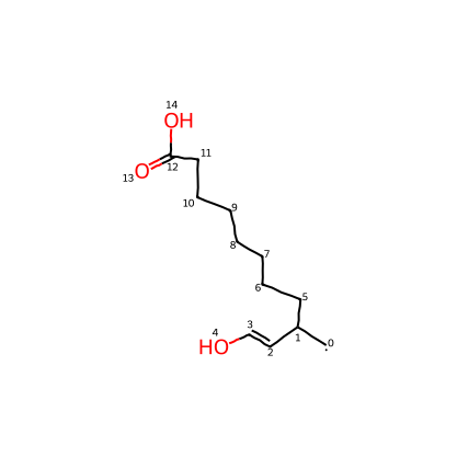 [CH2]C(C=CO)CCCCCCCC(=O)O